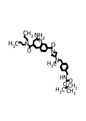 CCCN(CCC)C(=O)C1=Cc2ccc(C(=O)N3CC(N(C)Cc4ccc(CNC(=O)OC(C)(C)C)cc4)C3)cc2N=C(N)C1